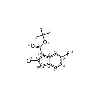 CC(C)(C)OC(=O)n1c(Cl)nc2ccc(F)cc21